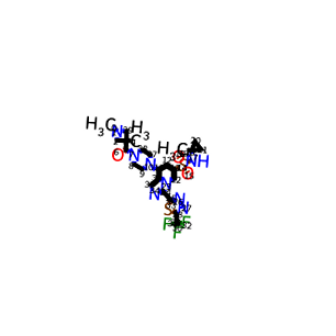 CN1CC(C)(C(=O)N2CCN(c3cc(S(=O)(=O)NC4(C)CC4)cn4c(-c5nnc(C(F)(F)F)s5)ncc34)CC2)C1